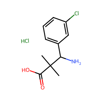 CC(C)(C(=O)O)C(N)c1cccc(Cl)c1.Cl